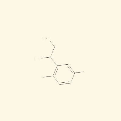 OCC(O)c1cc(F)ccc1I